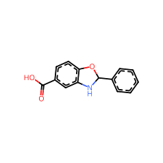 O=C(O)c1ccc2c(c1)NC(c1ccccc1)O2